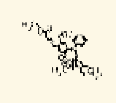 CCCCC1(CCCC)CN(c2ccccc2)c2cc(SC)c(CSCC(=O)OCC)cc2S(=O)(=O)N1PC